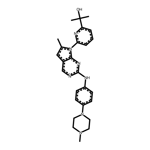 Cc1cc2cnc(Nc3ccc(N4CCN(C)CC4)cc3)nc2n1-c1cccc(C(C)(C)O)n1